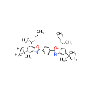 CCCCC(C)c1cc(C(C)(C)C)cc2nc(-c3ccc(-c4nc5cc(C(C)(C)C)cc(C(C)CCCC)c5o4)cc3)oc12